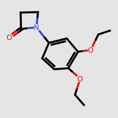 CCOc1ccc(N2CCC2=O)cc1OCC